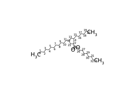 CCCCCCCCCCCCC(CCCCCCCC)CCC(=O)OCCCCCCCC